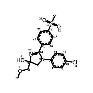 COCC1(O)CN(c2ccc(Cl)cc2)C(c2ccc(S(C)(=O)=O)cc2)=N1